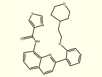 O=C(Nc1cccc2ccc(-c3ccccc3OCCN3CCOCC3)nc12)c1cscn1